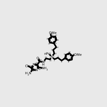 CCC[N+](CCCc1ccc(OC)cc1)(CCCc1ccc(OC)cc1)CCNC(=O)c1nc(Cl)c(N)nc1N